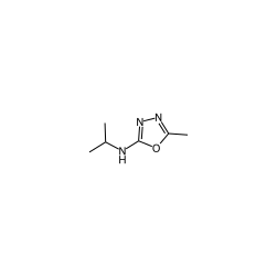 Cc1nnc(NC(C)C)o1